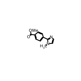 COC(=O)c1ccc(-c2nccn2C)cc1